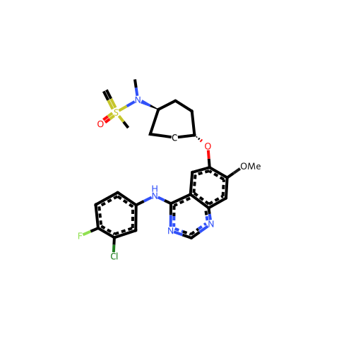 C=S(C)(=O)N(C)[C@H]1CC[C@H](Oc2cc3c(Nc4ccc(F)c(Cl)c4)ncnc3cc2OC)CC1